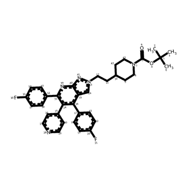 CC(C)(C)OC(=O)N1CCC(CCn2cc3c(-c4ccc(F)cc4)c(-c4ccncc4)c(-c4ccc(F)cc4)nc3n2)CC1